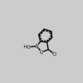 OB1OC(Cl)c2ccccc21